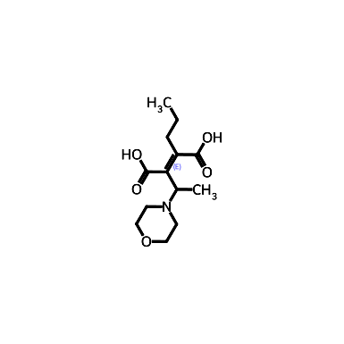 CCC/C(C(=O)O)=C(\C(=O)O)C(C)N1CCOCC1